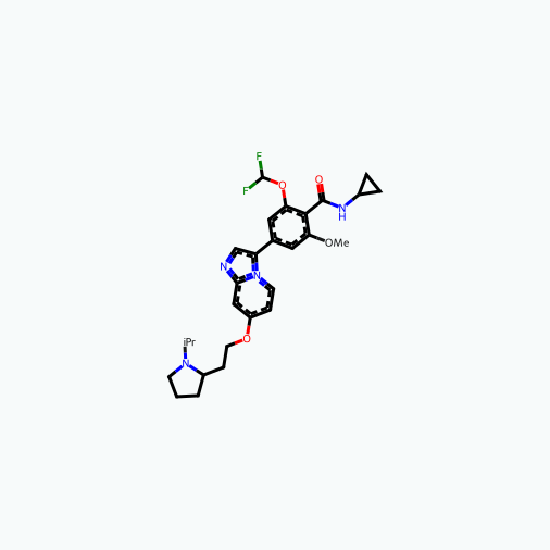 COc1cc(-c2cnc3cc(OCCC4CCCN4C(C)C)ccn23)cc(OC(F)F)c1C(=O)NC1CC1